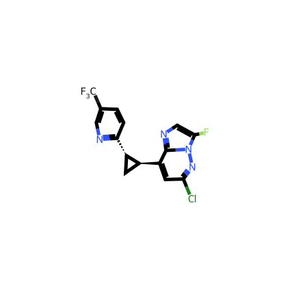 Fc1cnc2c([C@H]3C[C@@H]3c3ccc(C(F)(F)F)cn3)cc(Cl)nn12